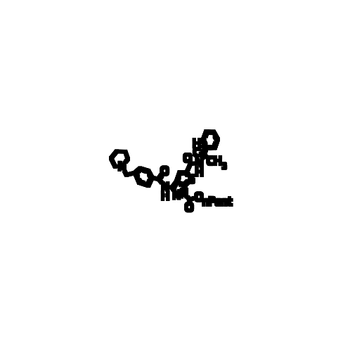 CCCCCOC(=O)n1nc(NC(=O)c2ccc(CN3CCCCC3)cc2)c2cc(C(=O)NC(C)(C)c3ccccc3)sc21